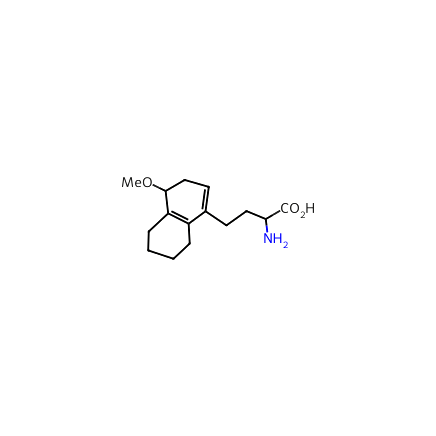 COC1CC=C(CCC(N)C(=O)O)C2=C1CCCC2